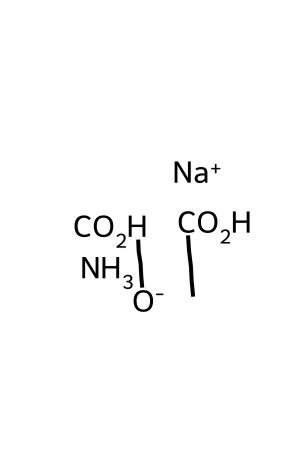 CC(=O)O.N.O=C([O-])O.[Na+]